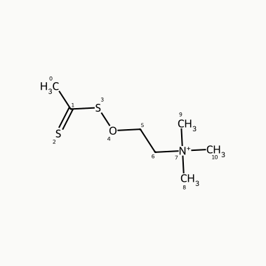 CC(=S)SOCC[N+](C)(C)C